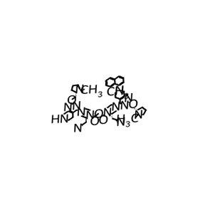 Cc1cccc2cccc(N3CCc4c(nc(OC[C@@H]5CCCN5C)nc4N4CCN(C(=O)OC(=O)N5CCN(c6nc(OC[C@@H]7CCCN7C)nc7c6CCNC7)C[C@@H]5CC#N)[C@@H](CC#N)C4)C3)c12